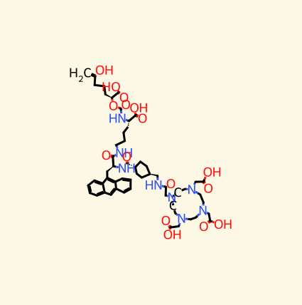 C=C(O)CCC[C@H](OC(=O)N[C@@H](CCCCNC(=O)[C@H](Cc1c2ccccc2cc2ccccc12)NC(=O)[C@H]1CC[C@H](CNC(=O)CN2CCN(CC(=O)O)CCN(CC(=O)O)CCN(CC(=O)O)CC2)CC1)C(=O)O)C(=O)O